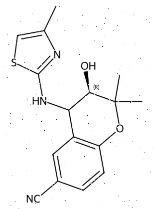 Cc1csc(NC2c3cc(C#N)ccc3OC(C)(C)[C@@H]2O)n1